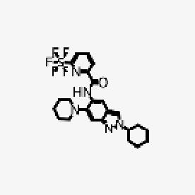 O=C(Nc1cc2cn(C3CCCCC3)nc2cc1N1CCCCC1)c1cccc(S(F)(F)(F)(F)F)n1